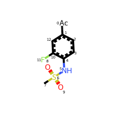 CC(=O)c1ccc(NS(C)(=O)=O)c(F)c1